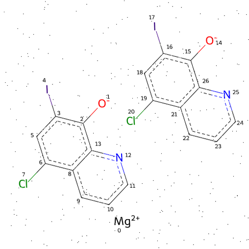 [Mg+2].[O-]c1c(I)cc(Cl)c2cccnc12.[O-]c1c(I)cc(Cl)c2cccnc12